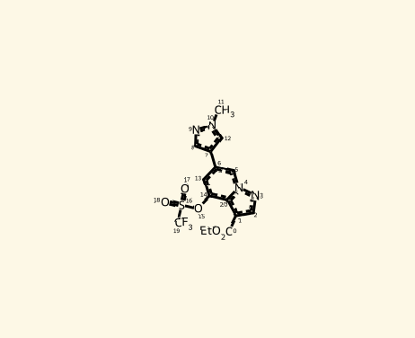 CCOC(=O)c1cnn2cc(-c3cnn(C)c3)cc(OS(=O)(=O)C(F)(F)F)c12